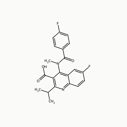 CC(C)c1nc2ccc(F)cc2c(N(C)C(=O)c2ccc(F)cc2)c1C(=O)O